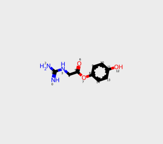 N=C(N)NCC(=O)Oc1ccc(O)cc1